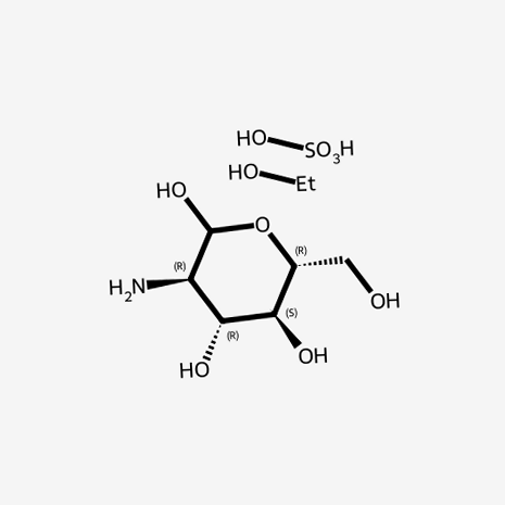 CCO.N[C@H]1C(O)O[C@H](CO)[C@@H](O)[C@@H]1O.O=S(=O)(O)O